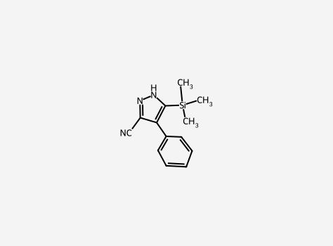 C[Si](C)(C)c1[nH]nc(C#N)c1-c1ccccc1